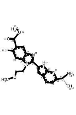 COCCn1c(-c2cc3ccc([C@@H](C)N)nc3[nH]2)nc2cc(C(=O)OC)c(F)cc21